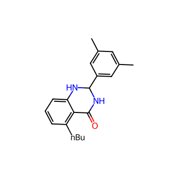 CCCCc1cccc2c1C(=O)NC(c1cc(C)cc(C)c1)N2